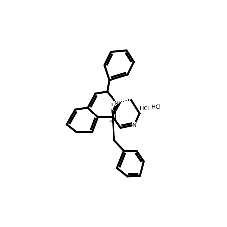 C1=CC2=CC(c3ccccc3)[N@+]34CCN=C[C@]3(C2=CC1)C(Cc1ccccc1)NCC4.Cl.Cl